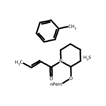 CC=CC(=O)N1CCCCC1OCCCCC.Cc1ccccc1.S